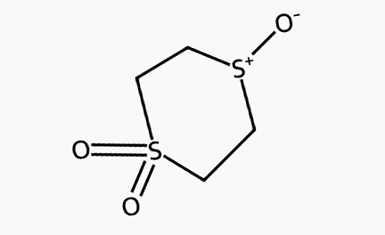 O=S1(=O)CC[S+]([O-])CC1